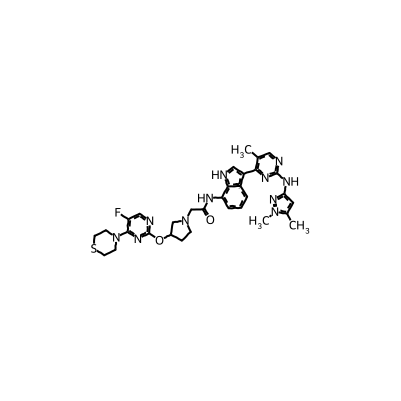 Cc1cnc(Nc2cc(C)n(C)n2)nc1-c1c[nH]c2c(NC(=O)CN3CCC(Oc4ncc(F)c(N5CCSCC5)n4)C3)cccc12